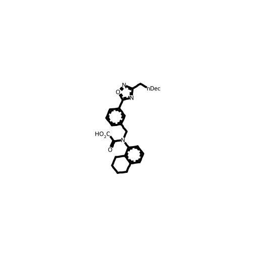 CCCCCCCCCCCc1noc(-c2cccc(CN(C(=O)C(=O)O)c3cccc4c3CCCC4)c2)n1